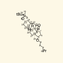 CC(C)CCCO[C@H]1CC[C@H]2[C@@H]3C(=O)C=C4C[C@@H](O[Si](C)(C)C(C)(C)C)CC[C@]4(C)[C@H]3CC[C@]12C